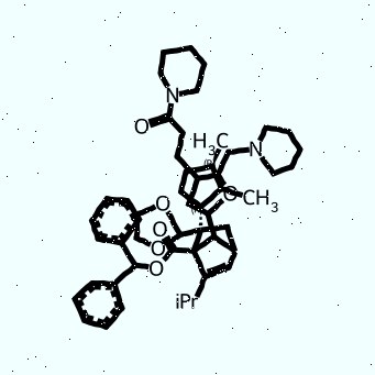 CC(C)C1=CC2CC(C3OCCO3)([C@@H]3CC[C@@H](C)C3C)C1(C(=O)OC(c1ccccc1)c1ccccc1)C2C1CC(CCC(=O)N2CCCCC2)C(CN2CCCCC2)O1